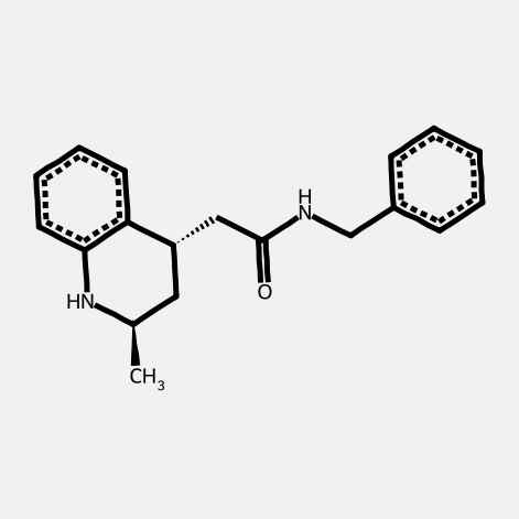 C[C@@H]1C[C@@H](CC(=O)NCc2ccccc2)c2ccccc2N1